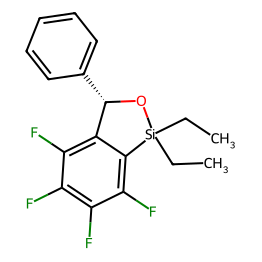 CC[Si]1(CC)O[C@@H](c2ccccc2)c2c(F)c(F)c(F)c(F)c21